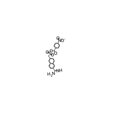 N=C(N)c1ccc2cc(CS(=O)(=O)OC(=O)c3ccc([N+](=O)[O-])cc3)ccc2c1